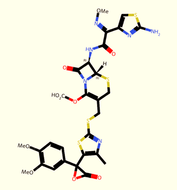 CON=C(C(=O)N[C@@H]1C(=O)N2C(OC(=O)O)=C(CSc3nc(C)c(C4(c5ccc(OC)c(OC)c5)OC4=O)s3)CS[C@@H]12)c1csc(N)n1